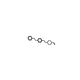 C=CC1CCC(CCc2ccc(CCc3ccccc3)cc2)CC1